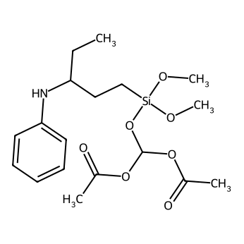 CCC(CC[Si](OC)(OC)OC(OC(C)=O)OC(C)=O)Nc1ccccc1